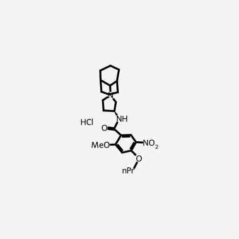 CCCOc1cc(OC)c(C(=O)N[C@H]2CCN(C3C4CCCC3CCC4)C2)cc1[N+](=O)[O-].Cl